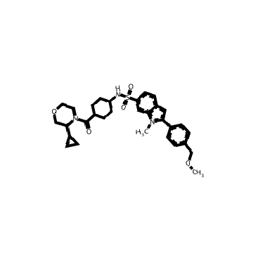 COCc1ccc(-c2cc3ccc(S(=O)(=O)NC4CCC(C(=O)N5CCOCC5C5CC5)CC4)cc3n2C)cc1